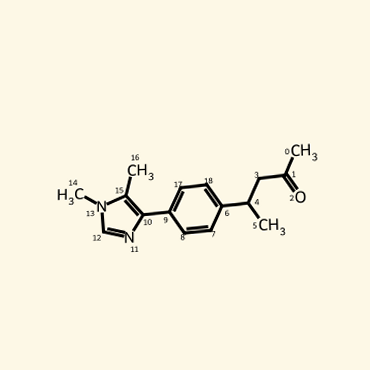 CC(=O)CC(C)c1ccc(-c2ncn(C)c2C)cc1